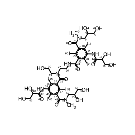 CN(CC(O)CO)C(=O)c1c(I)c(NC(=O)C(O)CO)c(I)c(C(=O)NCCN(CCO)C(=O)c2c(I)c(NC(=O)C(O)CO)c(I)c(C(=O)N(C)CC(O)CO)c2I)c1I